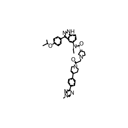 CCN(C(=O)[C@@H]1CCN(CC(=O)N2CC=C(c3ccc(-c4ncn(C)n4)cc3)CC2)C1)c1ccc2[nH]nc(-c3ccc(OC(C)C)cc3)c2c1